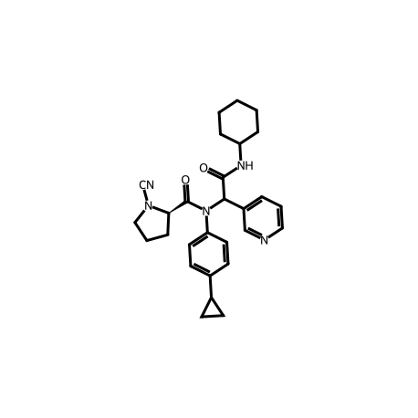 N#CN1CCC[C@@H]1C(=O)N(c1ccc(C2CC2)cc1)C(C(=O)NC1CCCCC1)c1cccnc1